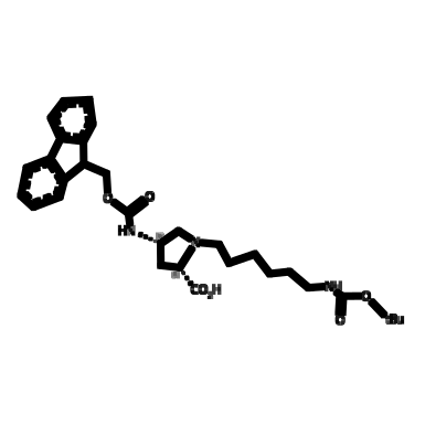 CC(C)(C)OC(=O)NCCCCCCN1C[C@@H](NC(=O)OCC2c3ccccc3-c3ccccc32)C[C@H]1C(=O)O